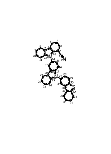 N#Cc1cccc2c3ccccc3n(-c3ccc4c(c3)c3ccccc3n4-c3ccc4sc5ccccc5c4c3)c12